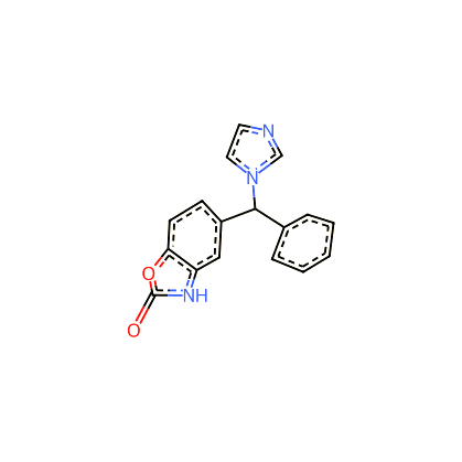 O=c1[nH]c2cc(C(c3ccccc3)n3ccnc3)ccc2o1